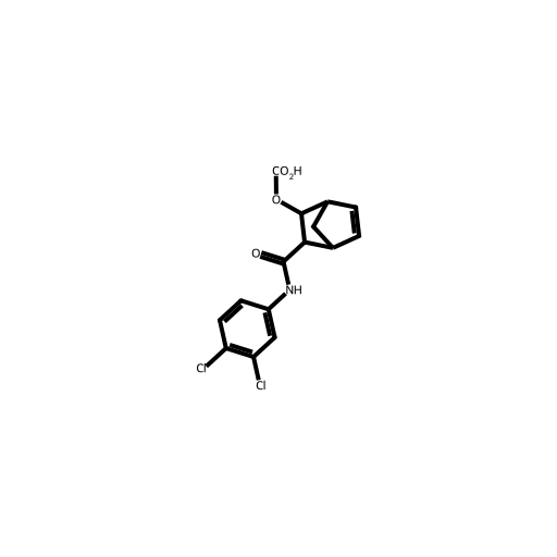 O=C(O)OC1C2C=CC(C2)C1C(=O)Nc1ccc(Cl)c(Cl)c1